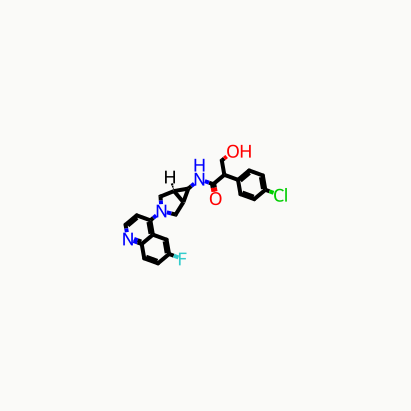 O=C(NC1C2CN(c3ccnc4ccc(F)cc34)C[C@H]21)C(CO)c1ccc(Cl)cc1